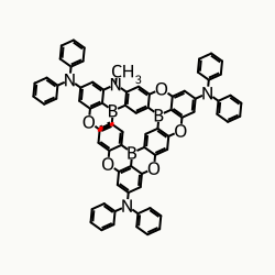 CN1c2cc3c(cc2B2c4ccccc4Oc4cc(N(c5ccccc5)c5ccccc5)cc1c42)B1c2cc4c(cc2Oc2cc(N(c5ccccc5)c5ccccc5)cc(c21)O3)Oc1cc(N(c2ccccc2)c2ccccc2)cc2c1B4c1ccccc1O2